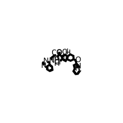 O=C(N[C@@H](CNc1ncnc2ccccc12)C(=O)O)c1c(Cl)cc2c(c1Cl)CCC(C(=O)c1cc3ccccn3n1)C2